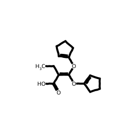 CCC(C(=O)O)=C(OC1=CCCC1)OC1=CCCC1